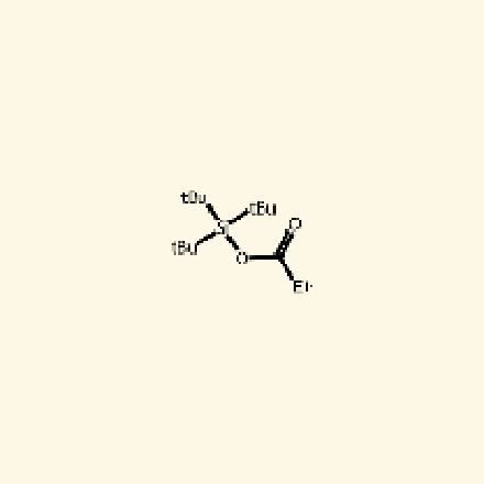 C[CH]C(=O)O[Si](C(C)(C)C)(C(C)(C)C)C(C)(C)C